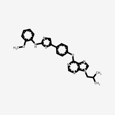 COc1ccccc1Nc1ncc(-c2ccc(Oc3ncnc4c3ncn4CC(C)C)cc2)s1